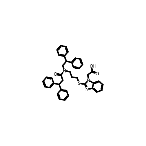 O=C(O)Cn1c(SCCCN(CC(c2ccccc2)c2ccccc2)C(=O)CC(c2ccccc2)c2ccccc2)nc2ccccc21